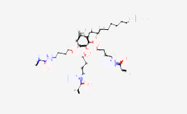 C=CC(=O)NCCCCOc1cc(C(=O)O)c(CCCCCCCCCCCCCCCCCC)c(OCCCCNC(=O)C=C)c1OCCCCNC(=O)C=C